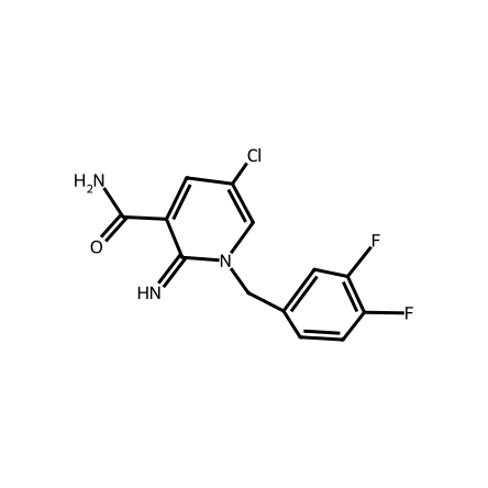 N=c1c(C(N)=O)cc(Cl)cn1Cc1ccc(F)c(F)c1